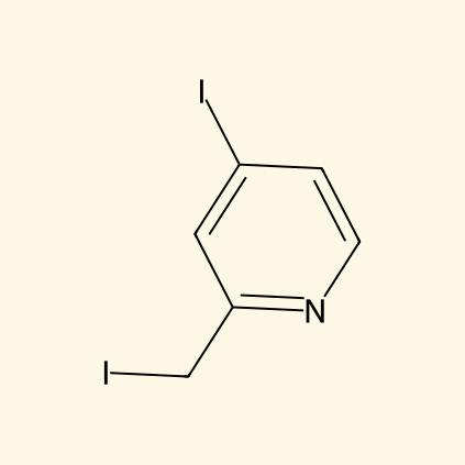 ICc1cc(I)ccn1